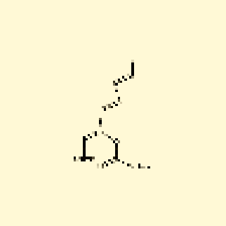 C/C=C/C=C/C(=C/CCCCCCC)OC(=O)CCCCCCC